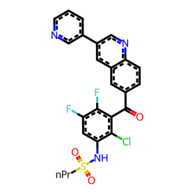 CCCS(=O)(=O)Nc1cc(F)c(F)c(C(=O)c2ccc3ncc(-c4cccnc4)cc3c2)c1Cl